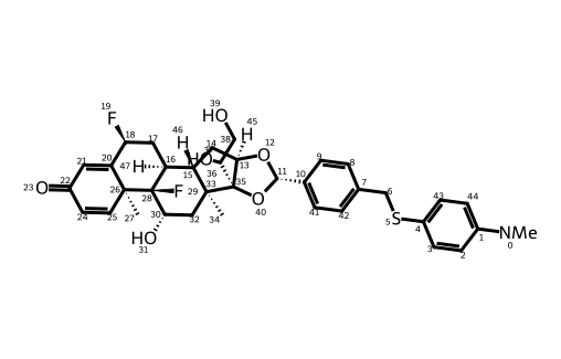 CNc1ccc(SCc2ccc([C@H]3O[C@@H]4C[C@H]5[C@@H]6C[C@H](F)C7=CC(=O)C=C[C@]7(C)[C@@]6(F)[C@@H](O)C[C@]5(C)[C@]4(C(O)CO)O3)cc2)cc1